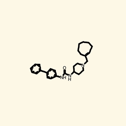 O=C(Nc1ccc(-c2ccccc2)cc1)NC1CCN(CC2=CCCCCCC2)CC1